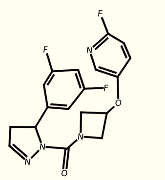 O=C(N1CC(Oc2ccc(F)nc2)C1)N1N=CCC1c1cc(F)cc(F)c1